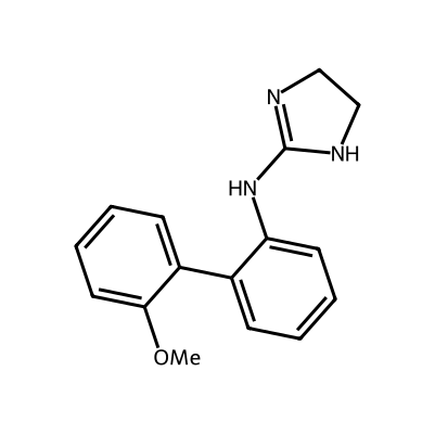 COc1ccccc1-c1ccccc1NC1=NCCN1